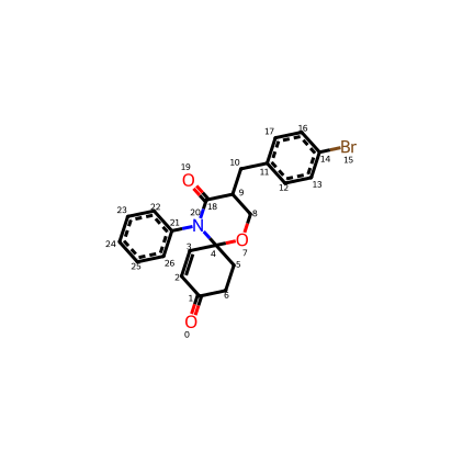 O=C1C=CC2(CC1)OCC(Cc1ccc(Br)cc1)C(=O)N2c1ccccc1